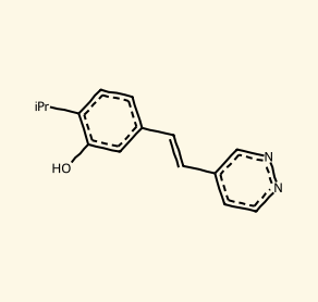 CC(C)c1ccc(/C=C/c2ccnnc2)cc1O